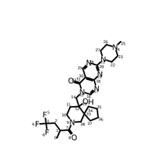 CC(CC(F)(F)F)C(=O)N1CCC(O)(Cn2cnc3nc(N4CCN(C)CC4)ncc3c2=O)C2(CCCC2)C1